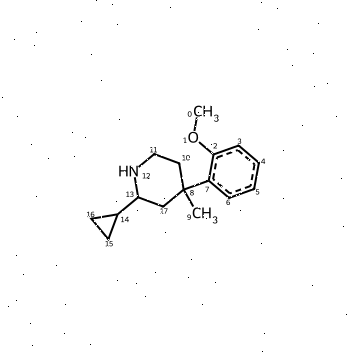 COc1ccccc1C1(C)CCNC(C2CC2)C1